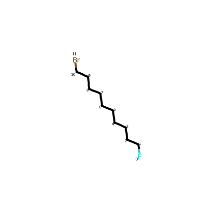 FCCCCCCCCCCBr